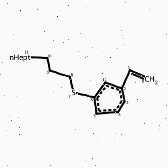 C=Cc1cccc(SCCCCCCCCCC)c1